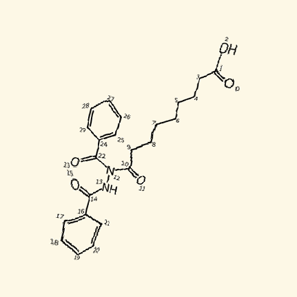 O=C(O)CCCCCCCC(=O)N(NC(=O)c1ccccc1)C(=O)c1ccccc1